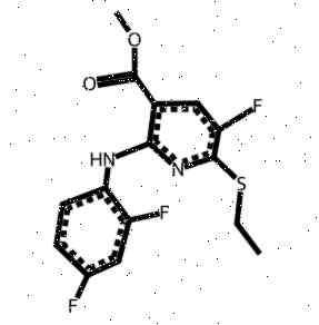 CCSc1nc(Nc2ccc(F)cc2F)c(C(=O)OC)cc1F